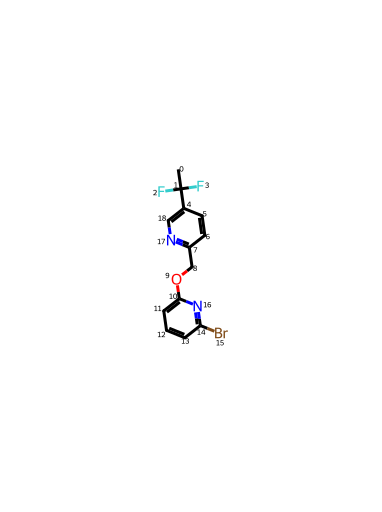 CC(F)(F)c1ccc(COc2cccc(Br)n2)nc1